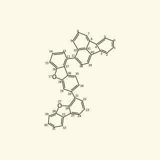 c1ccc2c(c1)-c1cccc3c(-c4cccc5oc6cc(-c7cccc8c7oc7ccccc78)ccc6c45)ccc-2c13